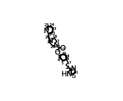 O=C(Oc1ccc(CSc2ncc[nH]2)cc1)N1CCN(Cc2ccccn2)CC1